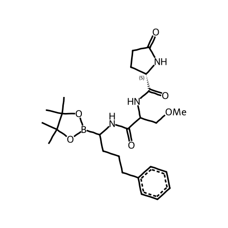 COCC(NC(=O)[C@@H]1CCC(=O)N1)C(=O)NC(CCCc1ccccc1)B1OC(C)(C)C(C)(C)O1